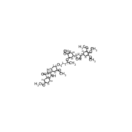 C=C(CCCOc1ccc(C2NC(=O)c3cc(OC)ccc3N2)cc1OC)Oc1cc(C2CC(c3cc(OC)c(OC)c(OC)c3)=NO2)ccc1OC